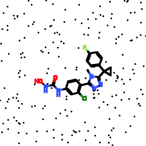 Cn1c(-c2ccc(NC(=O)NO)cc2Cl)nnc1C1(c2ccc(F)cc2)CC1